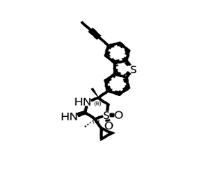 CC#Cc1ccc2sc3ccc([C@]4(C)CS(=O)(=O)[C@@](C)(C5CC5)C(=N)N4)cc3c2c1